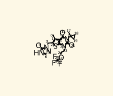 Cc1c(Cn2nc[nH]c2=O)sc2c1c(=O)n(C1(C)CC1)c(=O)n2CCOC(F)(F)F